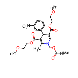 CCCOCCOC(=O)C1=CN(COC(=O)NC)C(C)=C(C(=O)OCCOCCC)C1c1cccc([N+](=O)[O-])c1